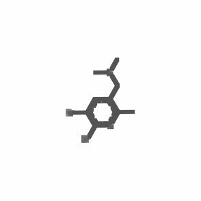 Cc1nc(Br)c(Br)cc1CN(C)C